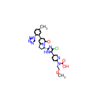 COCCN(C(=O)O)c1ccc(-c2[nH]c([C@@H]3CCc4cc(-c5cc(C)ccc5-n5cnnn5)cc(=O)n43)nc2Cl)cn1